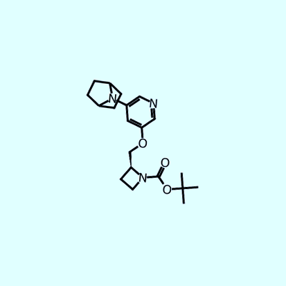 CC(C)(C)OC(=O)N1CC[C@H]1COc1cncc(N2C3CCC2CC3)c1